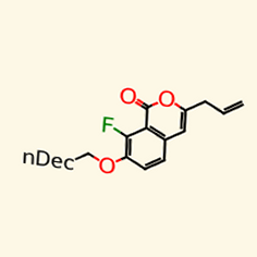 C=CCc1cc2ccc(OCCCCCCCCCCC)c(F)c2c(=O)o1